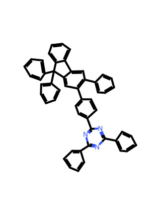 c1ccc(-c2nc(-c3ccccc3)nc(-c3ccc(-c4cc5c(cc4-c4ccccc4)-c4ccccc4C5(c4ccccc4)c4ccccc4)cc3)n2)cc1